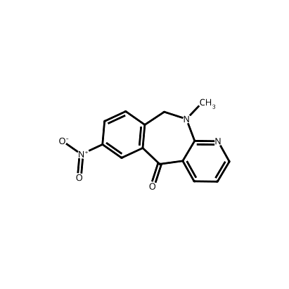 CN1Cc2ccc([N+](=O)[O-])cc2C(=O)c2cccnc21